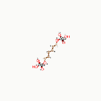 [O]=[Mo](=[O])([OH])[O]SSSSSS[O][Mo](=[O])(=[O])[OH]